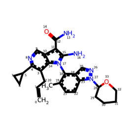 C=CCc1c(C2CC2)ncc2c(C(N)=O)c(N)n(-c3c(C)ccc4c3cnn4C3CCCCO3)c12